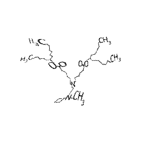 CCCCCCC(CCCCCC)COC(=O)CCCCCN(CCCCCC(=O)OCC(CCCCCC)CCCCCC)CCN(CC)C1CCC1